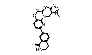 Cc1nnn(C)c1CN1C(=O)[C@@H](C)Oc2ccc(-c3ccc4c(c3)C(=O)NCC4)nc21